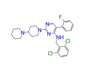 Fc1ccccc1-c1cnc(N2CCC(N3CCCCC3)CC2)nc1NCc1c(Cl)cccc1Cl